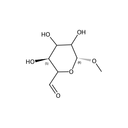 CO[C@@H]1OC(C=O)[C@@H](O)C(O)C1O